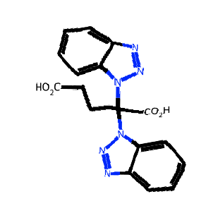 O=C(O)CCC(C(=O)O)(n1nnc2ccccc21)n1nnc2ccccc21